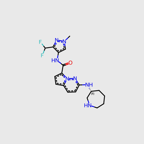 Cn1cc(NC(=O)c2ccc3ccc(N[C@@H]4CCCCNC4)nn23)c(C(F)F)n1